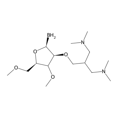 B[C@@H]1O[C@H](COC)C(OC)[C@@H]1OCC(CN(C)C)CN(C)C